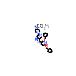 CN(C(=O)O)C1CCN(c2cc3c(cn2)c(-c2ccc(OCc4ccccc4)nc2OCc2ccccc2)nn3C)CC1